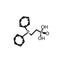 O=P(O)(O)CCP(c1ccccc1)c1ccccc1